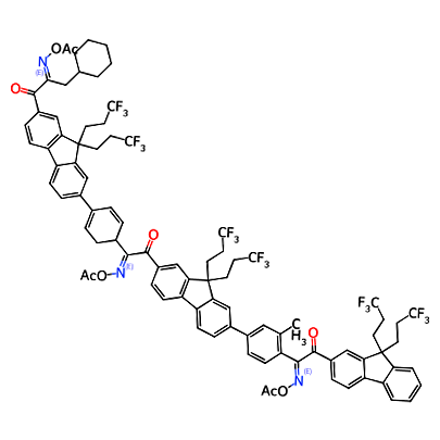 CC(=O)O/N=C(\CC1CCCCC1)C(=O)c1ccc2c(c1)C(CCC(F)(F)F)(CCC(F)(F)F)c1cc(C3=CCC(/C(=N\OC(C)=O)C(=O)c4ccc5c(c4)C(CCC(F)(F)F)(CCC(F)(F)F)c4cc(-c6ccc(/C(=N\OC(C)=O)C(=O)c7ccc8c(c7)C(CCC(F)(F)F)(CCC(F)(F)F)c7ccccc7-8)c(C)c6)ccc4-5)C=C3)ccc1-2